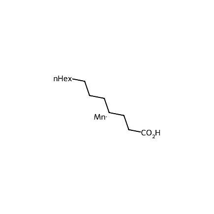 CCCCCCCCCCCCC(=O)O.[Mn]